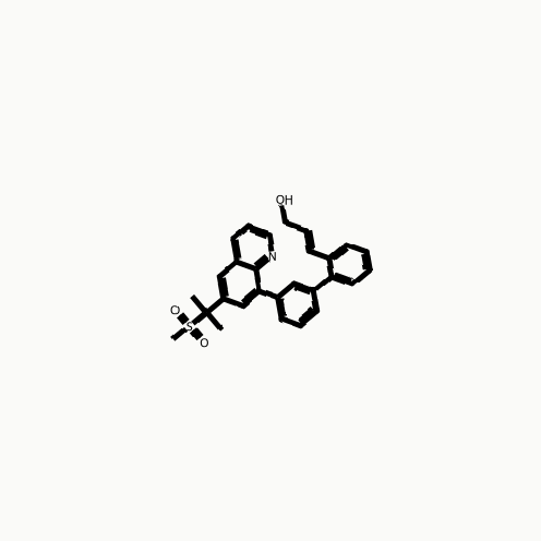 CC(C)(c1cc(-c2cccc(-c3ccccc3/C=C/CO)c2)c2ncccc2c1)S(C)(=O)=O